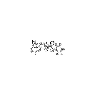 N#CC1(c2ccccc2)CCN(C(=O)Cc2ccccc2)CC1